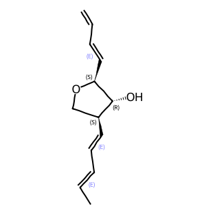 C=C/C=C/[C@@H]1OC[C@H](/C=C/C=C/C)[C@H]1O